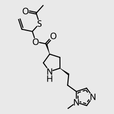 C=CC(OC(=O)[C@@H]1CN[C@H](CCc2cncn2C)C1)SC(C)=O